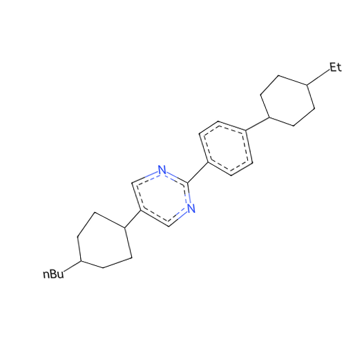 CCCCC1CCC(c2cnc(-c3ccc(C4CCC(CC)CC4)cc3)nc2)CC1